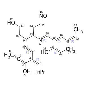 C=C=C(O)C(=C\CCC)/C=N/C(CCO)C(CCN=O)/N=C/C(=C/C=C\C)C(/O)=C\C